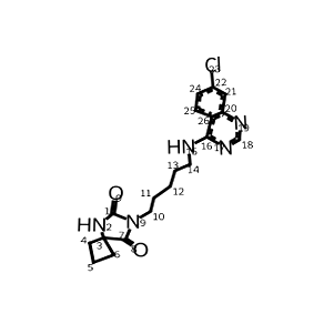 O=C1NC2(CCC2)C(=O)N1CCCCCNc1ncnc2cc(Cl)ccc12